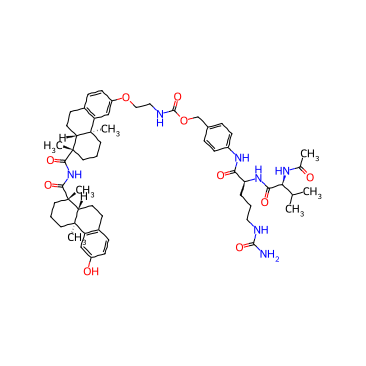 CC(=O)N[C@H](C(=O)N[C@@H](CCCNC(N)=O)C(=O)Nc1ccc(COC(=O)NCCOc2ccc3c(c2)[C@@]2(C)CCC[C@](C)(C(=O)NC(=O)[C@@]4(C)CCC[C@]5(C)c6cc(O)ccc6CC[C@@H]45)[C@@H]2CC3)cc1)C(C)C